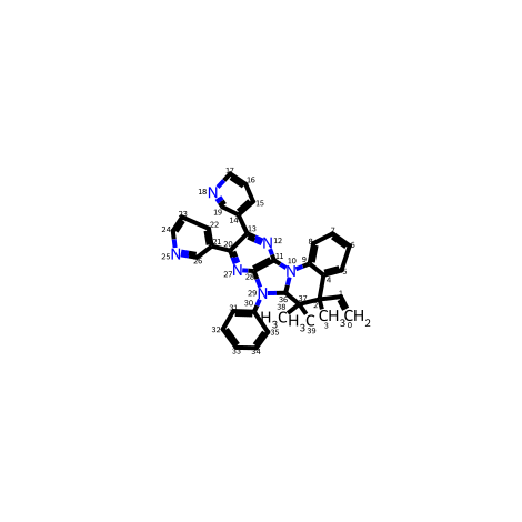 C=CC1(C)c2ccccc2N2c3nc(-c4cccnc4)c(-c4cccnc4)nc3N(c3ccccc3)C2C1(C)C